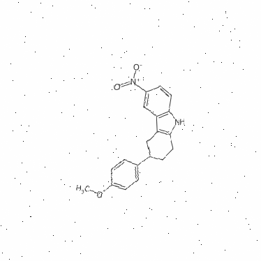 COc1ccc(C2CCc3[nH]c4ccc([N+](=O)[O-])cc4c3C2)cc1